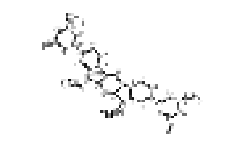 [C-]#[N+]/N=c1/c2cc(-c3cc(F)cc(C(F)(F)F)c3)ccc2c2cc3c(cc12)/c(=N/[N+]#[C-])c1cc(-c2cc(C)cc(F)c2)ccc13